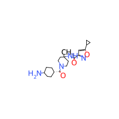 CC1(NC(=O)c2cc(C3CC3)on2)CCN(C(=O)[C@H]2CC[C@H](N)CC2)CC1